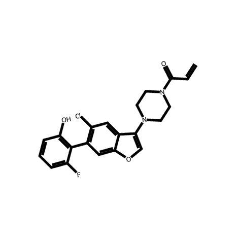 C=CC(=O)N1CCN(c2coc3cc(-c4c(O)cccc4F)c(Cl)cc23)CC1